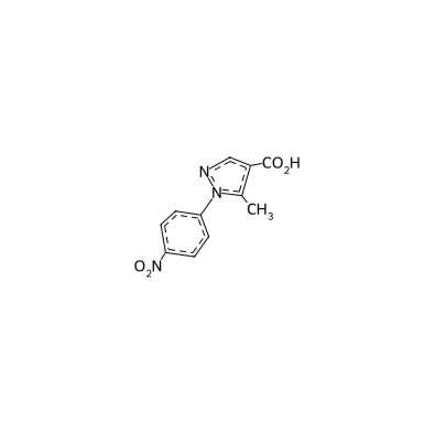 Cc1c(C(=O)O)cnn1-c1ccc([N+](=O)[O-])cc1